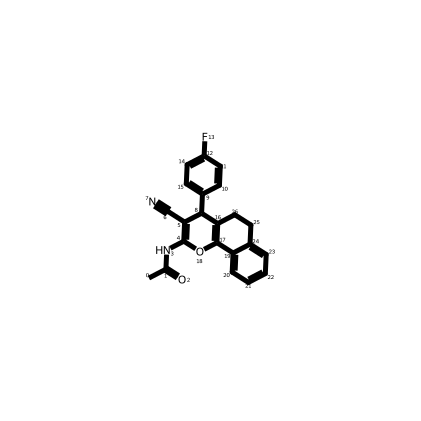 CC(=O)NC1=C(C#N)C(c2ccc(F)cc2)C2=C(O1)c1ccccc1CC2